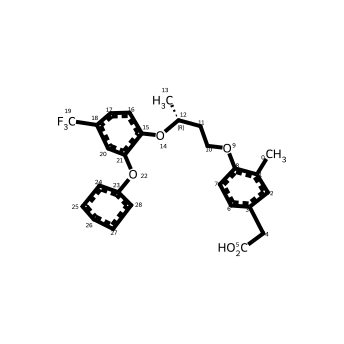 Cc1cc(CC(=O)O)ccc1OCC[C@@H](C)Oc1ccc(C(F)(F)F)cc1Oc1ccccc1